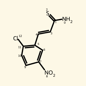 NC(=S)C=Cc1cc([N+](=O)[O-])ccc1Cl